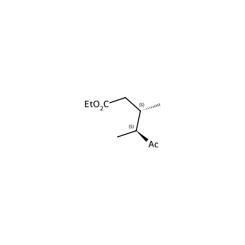 CCOC(=O)C[C@H](C)[C@H](C)C(C)=O